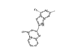 CCc1nc(C)cn2nc(-c3cc(=O)n4ccccc4n3)cc12